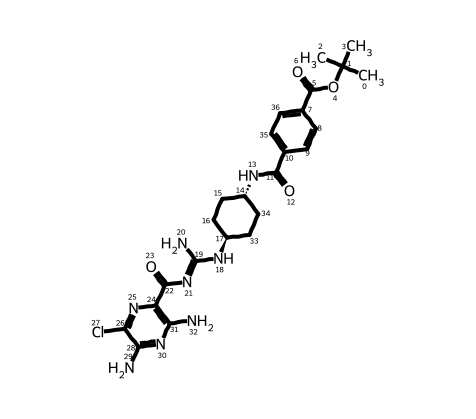 CC(C)(C)OC(=O)c1ccc(C(=O)N[C@H]2CC[C@H](N/C(N)=N/C(=O)c3nc(Cl)c(N)nc3N)CC2)cc1